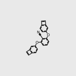 N#Cc1c(Oc2ccc3c(c2)C=C3)cccc1Oc1ccc2c(c1)C=C2